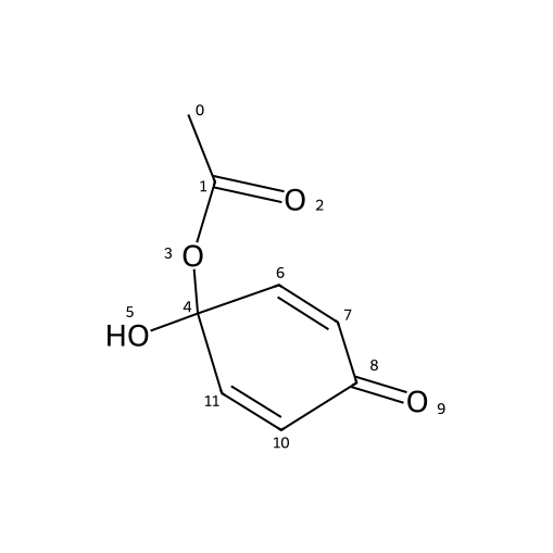 CC(=O)OC1(O)C=CC(=O)C=C1